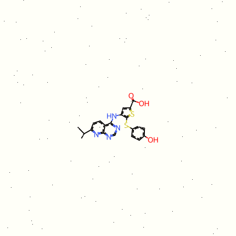 CC(C)c1ccc2c(Nc3cc(C(=O)O)sc3Sc3ccc(O)cc3)ncnc2n1